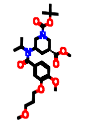 COCCCOc1cc(C(=O)N(C(C)C)C2C[C@@H](C(=O)OC)CN(C(=O)OC(C)(C)C)C2)ccc1OC